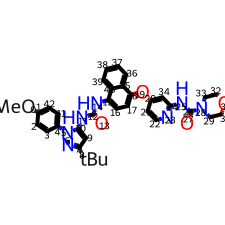 COc1ccc(-n2nc(C(C)(C)C)cc2NC(=O)Nc2ccc(Oc3ccnc(NC(=O)N4CCOCC4)c3)c3ccccc23)cc1